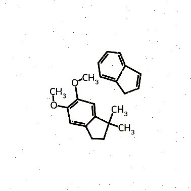 C1=Cc2ccccc2C1.COc1cc2c(cc1OC)C(C)(C)CC2